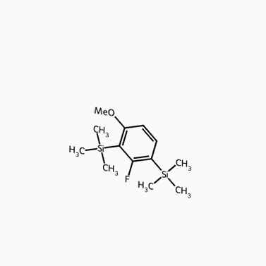 COc1ccc([Si](C)(C)C)c(F)c1[Si](C)(C)C